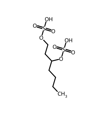 CCCCC(CCOS(=O)(=O)O)OS(=O)(=O)O